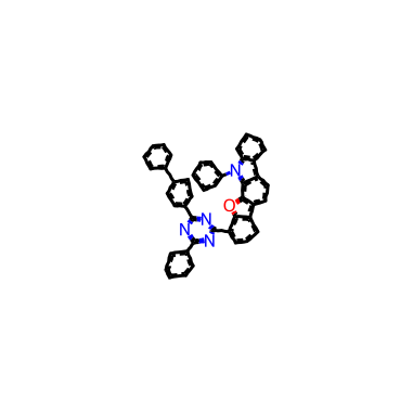 c1ccc(-c2ccc(-c3nc(-c4ccccc4)nc(-c4cccc5c4oc4c5ccc5c6ccccc6n(-c6ccccc6)c54)n3)cc2)cc1